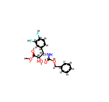 COC(=O)[C@H](O)[C@@H](NC(=O)OCc1ccccc1)c1ccc(F)c(F)c1